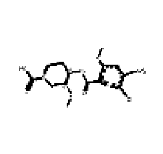 COc1cc(N)c(Cl)cc1C(=O)N[C@@H]1CCN(C(=O)O)C[C@@H]1OC